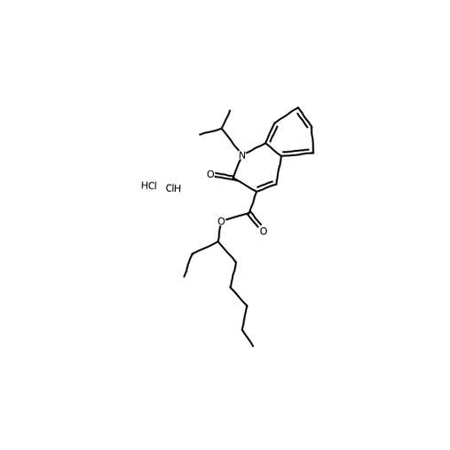 CCCCCC(CC)OC(=O)c1cc2ccccc2n(C(C)C)c1=O.Cl.Cl